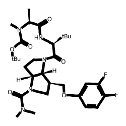 C[C@@H](C(=O)N[C@H](C(=O)N1CC[C@@H]2[C@H]1[C@@H](COc1ccc(F)c(F)c1)CN2C(=O)N(C)C)C(C)(C)C)N(C)C(=O)OC(C)(C)C